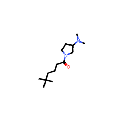 CN(C)C1CCN(C(=O)CCCC(C)(C)C)C1